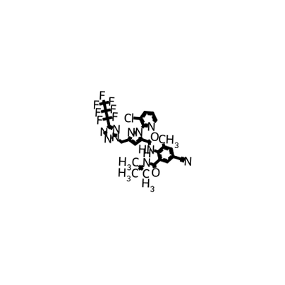 Cc1cc(C#N)cc(C(=O)NC(C)(C)C)c1NC(=O)c1cc(Cn2nnc(C(F)(F)C(F)(F)C(F)(F)F)n2)nn1-c1ncccc1Cl